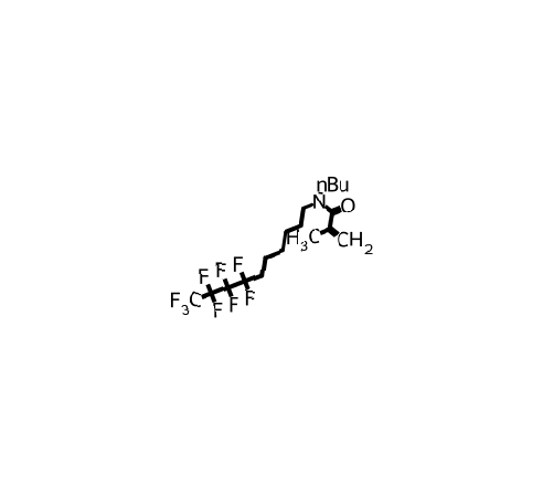 C=C(C)C(=O)N(CCCC)CCCCCCC(F)(F)C(F)(F)C(F)(F)C(F)(F)F